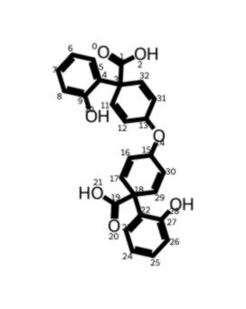 O=C(O)C1(c2ccccc2O)C=CC(OC2C=CC(C(=O)O)(c3ccccc3O)C=C2)C=C1